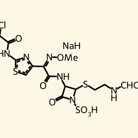 CON=C(C(=O)NC1C(=O)N(S(=O)(=O)O)C1SCCNC=O)c1csc(NC(=O)CCl)n1.[NaH]